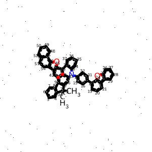 CC1(C)c2ccccc2-c2ccc(N(c3ccc(-c4cccc5c4oc4ccccc45)cc3)c3ccccc3-c3cccc4c3oc3c5ccccc5ccc43)cc21